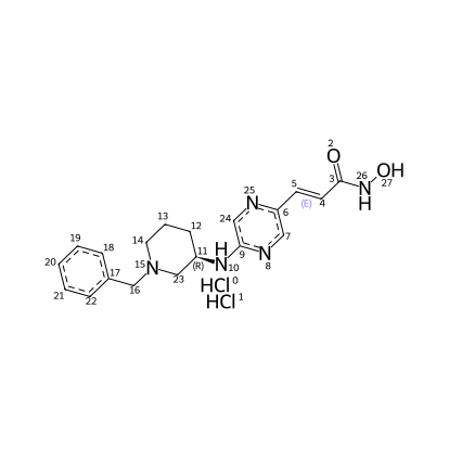 Cl.Cl.O=C(/C=C/c1cnc(N[C@@H]2CCCN(Cc3ccccc3)C2)cn1)NO